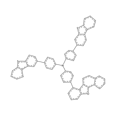 c1ccc2c(c1)ccc1c2oc2cccc(-c3ccc(N(c4ccc(-c5ccc6c(c5)sc5ccccc56)cc4)c4ccc(-c5ccc6sc7ccccc7c6c5)cc4)cc3)c21